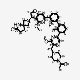 COc1nc(-c2cccc(-c3cccc(-c4cc5c(c(OC)n4)[C@@H](N4CC6(CCC(=O)N6)C4)CO5)c3F)c2C)cnc1CN1CCN(C(C)=O)CC1